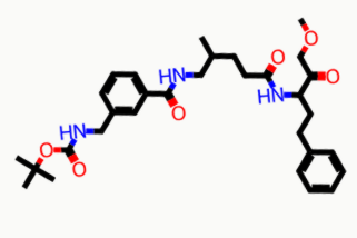 COCC(=O)C(CCc1ccccc1)NC(=O)CCC(C)CNC(=O)c1cccc(CNC(=O)OC(C)(C)C)c1